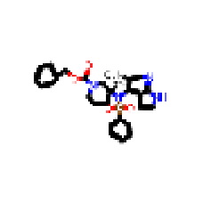 CC1(N(c2c([N+](=O)[O-])cnc3[nH]ccc23)S(=O)(=O)c2ccccc2)CCCN(C(=O)OCc2ccccc2)C1